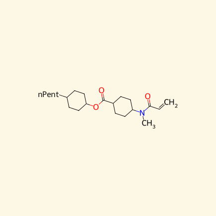 C=CC(=O)N(C)C1CCC(C(=O)OC2CCC(CCCCC)CC2)CC1